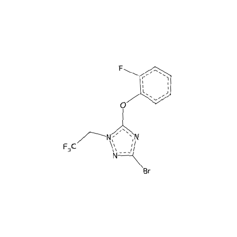 Fc1ccccc1Oc1nc(Br)nn1CC(F)(F)F